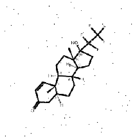 C[C@]12C=CC(=O)C[C@@H]1CC[C@@H]1[C@@H]2CC[C@@]2(C)[C@H]1CC[C@@]2(O)C(F)(F)C(F)(F)F